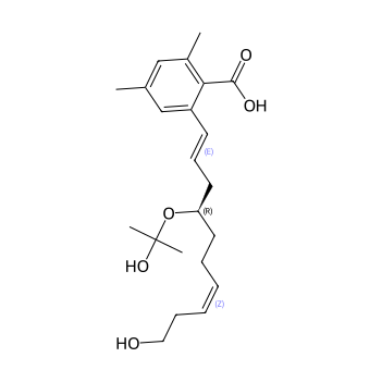 Cc1cc(C)c(C(=O)O)c(/C=C/C[C@@H](CC/C=C\CCO)OC(C)(C)O)c1